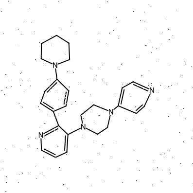 c1cnc(-c2ccc(N3CCCCC3)cc2)c(N2CCN(c3ccncc3)CC2)c1